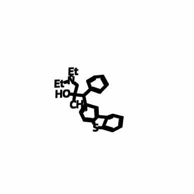 CCN(CC)CC(C)(O)C(c1ccccc1)c1ccc2sc3ccccc3c2c1